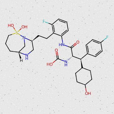 O=C(O)N[C@H](C(=O)Nc1cccc(F)c1CC[C@H]1CN[C@@H]2CCCS(O)(O)N1C2)[C@@H](c1ccc(F)cc1)C1CCC(O)CC1